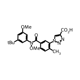 COc1cc(N(OC)C(=O)c2ccc(C)c(-n3cc(C(=O)O)nn3)c2)cc(C(C)(C)C)c1